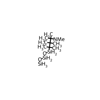 CNC(C)(C)C(C)(C)C(C)(C)[SiH2]O[SiH2]O[SiH3]